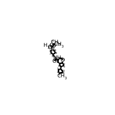 Cc1ccc(-c2ccc3c(c2)C=C(C(=O)NCC2CCN(C(=O)OC(C)(C)C)CC2)CCO3)cc1